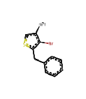 CCCc1csc(Cc2ccccc2)c1Br